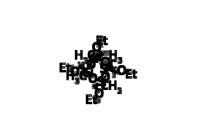 CCOC[Si]1(C)O[Si](C)(COCC)O[Si](C)(COCC)O[Si](C)(COCC)O1